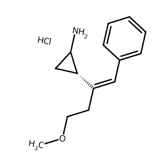 COCCC(=Cc1ccccc1)[C@@H]1CC1N.Cl